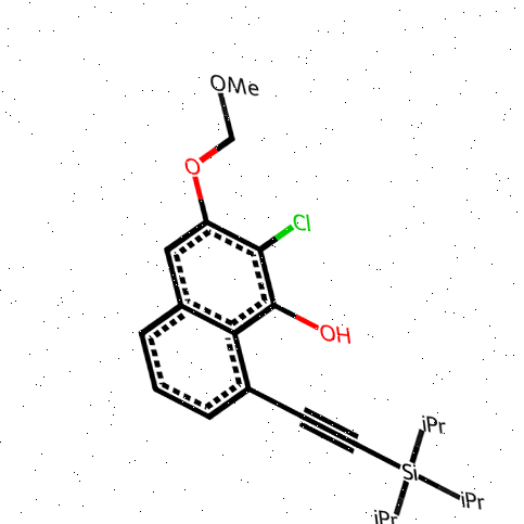 COCOc1cc2cccc(C#C[Si](C(C)C)(C(C)C)C(C)C)c2c(O)c1Cl